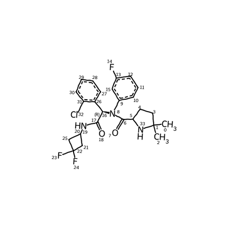 CC1(C)CCC(C(=O)N(c2cccc(F)c2)[C@@H](C(=O)NC2CC(F)(F)C2)c2ccccc2Cl)N1